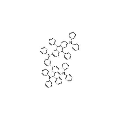 c1ccc(-c2c3ccc(N(c4ccccc4)c4cccc(-c5ccc6c(N(c7ccccc7)c7ccccc7)c7ccccc7c(N(c7ccccc7)c7ccccc7)c6c5)c4)cc3c(-c3ccccc3)c3ccc(N(c4ccccc4)c4ccccc4)cc23)cc1